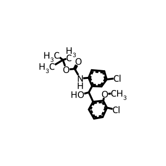 COc1c(Cl)cccc1C(O)c1cc(Cl)ccc1NC(=O)OC(C)(C)C